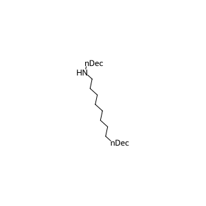 CCCCCCCCCCCCCCCCCCNCCCCCCCCCC